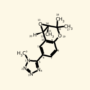 Cn1nnnc1-c1ccc2c(c1)[C@@H]1O[C@]1(C)C(C)(C)O2